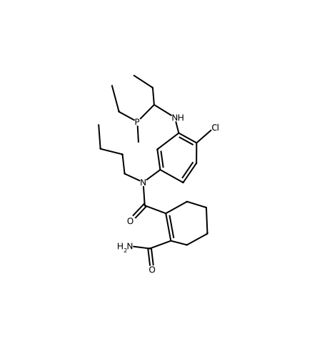 CCCCN(C(=O)C1=C(C(N)=O)CCCC1)c1ccc(Cl)c(NC(CC)P(C)CC)c1